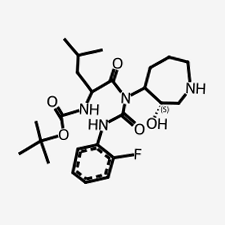 CC(C)CC(NC(=O)OC(C)(C)C)C(=O)N(C(=O)Nc1ccccc1F)C1CCCNC[C@@H]1O